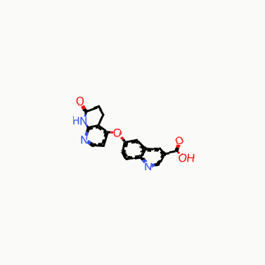 O=C1CCc2c(Oc3ccc4ncc(C(=O)O)cc4c3)ccnc2N1